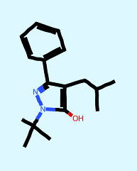 CC(C)Cc1c(-c2ccccc2)nn(C(C)(C)C)c1O